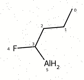 CCC[CH](F)[AlH2]